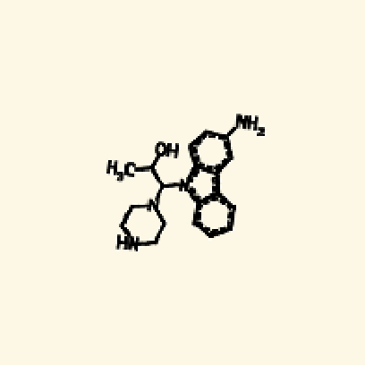 CC(O)C(N1CCNCC1)n1c2ccccc2c2cc(N)ccc21